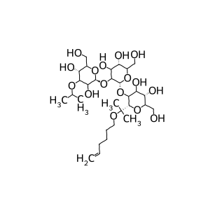 C=CCCCCOC(C)(C)[C@H]1OC(CO)[C@@H](O)C(O)C1O[C@H]1OC(CO)[C@@H](O)C(O)C1O[C@@H]1OC(CO)[C@@H](O)C(OC(C)C)C1O